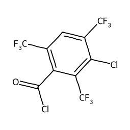 O=C(Cl)c1c(C(F)(F)F)cc(C(F)(F)F)c(Cl)c1C(F)(F)F